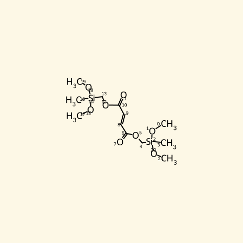 CO[Si](C)(COC(=O)/C=C/C(=O)OC[Si](C)(OC)OC)OC